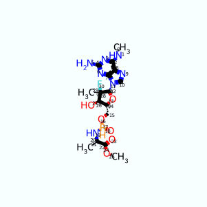 CNc1nc(N)nc2c1ncn2[C@@H]1O[C@H](CO[PH](=O)N[C@@H](C)C(=O)OC)[C@@H](O)[C@@]1(C)F